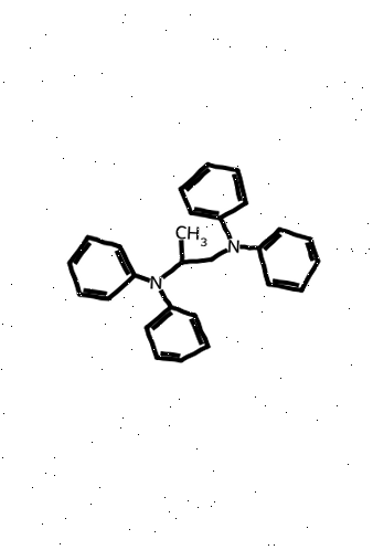 CC(CN(c1ccccc1)c1ccccc1)N(c1ccccc1)c1ccccc1